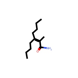 CCCCC(CCCC)=C(C)C(N)=O